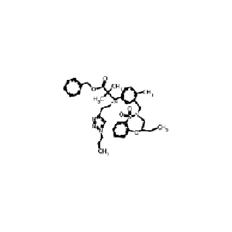 CCCn1cc(CC[C@@H](c2ccc(C)c(CN3CC(CC)Oc4ccccc4S3(=O)=O)c2)C(C)(C)C(=O)OCc2ccccc2)nn1